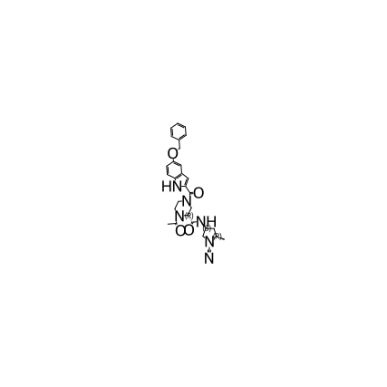 CC(=O)N1CCN(C(=O)c2cc3cc(OCc4ccccc4)ccc3[nH]2)C[C@@H]1C(=O)N[C@H]1C[C@@H](C)N(C#N)C1